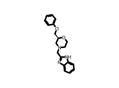 c1ccc(OC[C@@H]2CN(Cc3nc4ccccc4[nH]3)CCO2)cc1